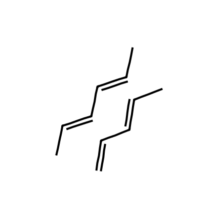 C=CC=CC.CC=CC=CC